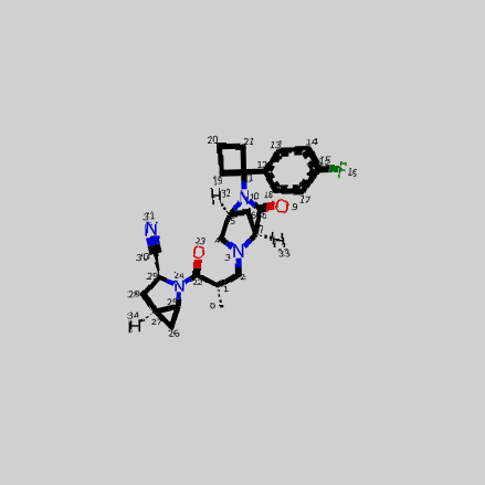 C[C@@H](CN1C[C@@H]2C[C@H]1C(=O)N2C1(c2ccc(F)cc2)CCC1)C(=O)N1C2C[C@H]2C[C@H]1C#N